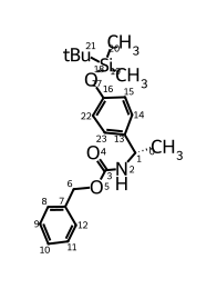 C[C@H](NC(=O)OCc1ccccc1)c1ccc(O[Si](C)(C)C(C)(C)C)cc1